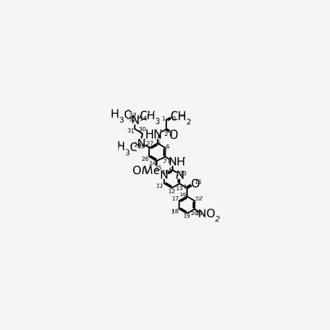 C=CC(=O)Nc1cc(Nc2nccc(C(=O)c3cccc([N+](=O)[O-])c3)n2)c(OC)cc1N(C)CCN(C)C